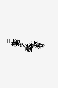 Cc1cc2c(NCCCCNS(N)(=O)=O)ncnc2cc1OCc1ccccc1